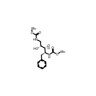 CC(C)(C)OC(=O)NC[C@@H](O)[C@H](O)[C@H](Cc1ccccc1)NC(=O)OC(C)(C)C